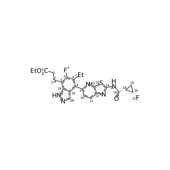 CCOC(=O)CSc1c(F)c(CC)c(-c2ccc3nc(NC(=O)[C@@H]4C[C@@H]4F)sc3n2)c2cn[nH]c12